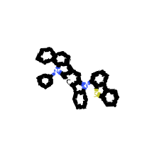 c1ccc(-n2c3cc4c5ccccc5n(-c5cccc6c5sc5ccccc56)c4cc3c3ccc4ccccc4c32)cc1